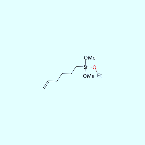 C=CCCCC[Si](OC)(OC)OCC